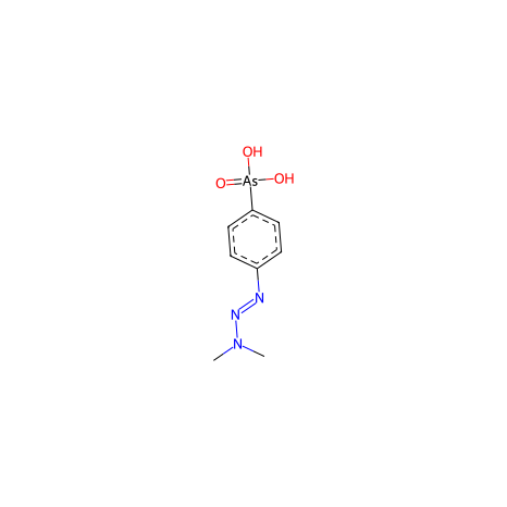 CN(C)N=Nc1ccc([As](=O)(O)O)cc1